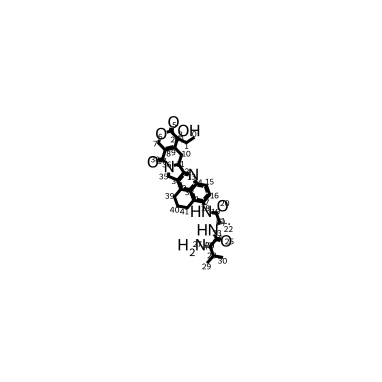 CC[C@@]1(O)C(=O)OCC2=C1CC1c3nc4ccc(NC(=O)[C@H](C)NC(=O)[C@@H](N)C(C)C)c5c4c(c3CN1C2=O)CCC5